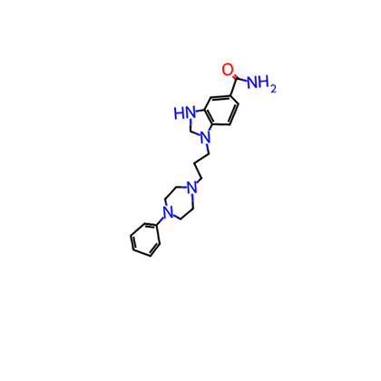 NC(=O)c1ccc2c(c1)NCN2CCCN1CCN(c2ccccc2)CC1